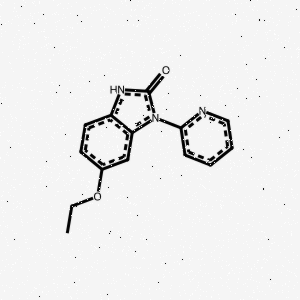 CCOc1ccc2[nH]c(=O)n(-c3ccccn3)c2c1